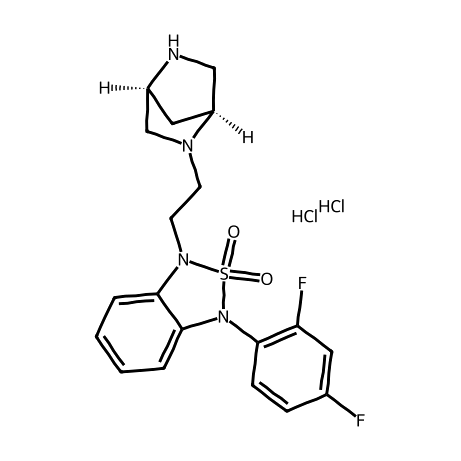 Cl.Cl.O=S1(=O)N(CCN2C[C@@H]3C[C@H]2CN3)c2ccccc2N1c1ccc(F)cc1F